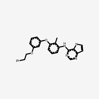 Cc1c(Nc2ncnc3c2[N]C=C3)cccc1Oc1cccc(OCCC(C)C)c1